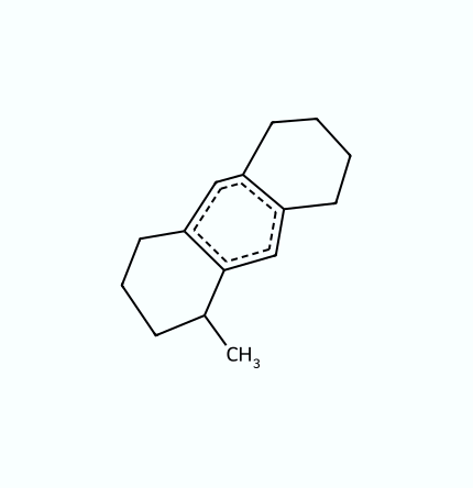 CC1CCCc2cc3c(cc21)CCCC3